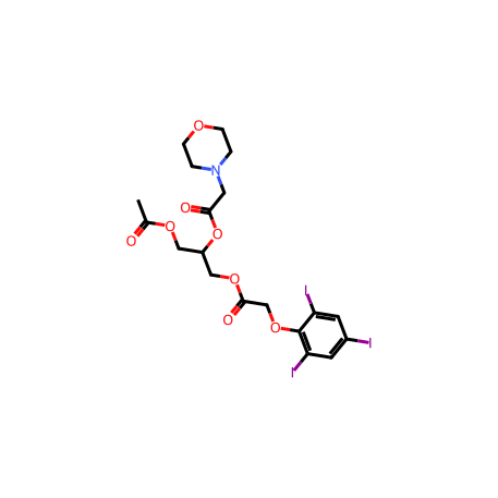 CC(=O)OCC(COC(=O)COc1c(I)cc(I)cc1I)OC(=O)CN1CCOCC1